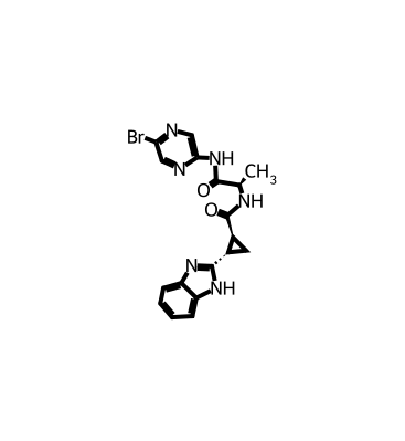 C[C@@H](NC(=O)[C@H]1C[C@@H]1c1nc2ccccc2[nH]1)C(=O)Nc1cnc(Br)cn1